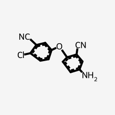 N#Cc1cc(Oc2ccc(N)cc2C#N)ccc1Cl